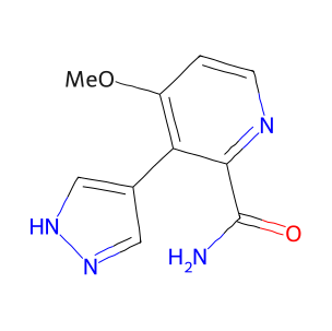 COc1ccnc(C(N)=O)c1-c1cn[nH]c1